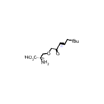 CC(C)(C)C/C=C/C(=O)COC[C@H](N)C(=O)O